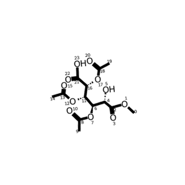 COC(=O)[C@@H](O)[C@@H](OC(C)=O)[C@H](OC(C)=O)[C@@H](OC(C)=O)C(=O)O